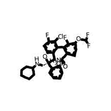 NC(=O)c1ccc(OC(F)F)c(F)c1-c1c(Cl)c(F)cc2c1[C@H](O)[C@@](CNC1CCCCC1)(c1ccccc1)O2